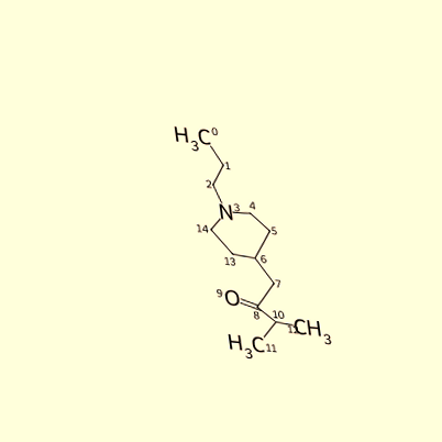 CCCN1CCC(CC(=O)C(C)C)CC1